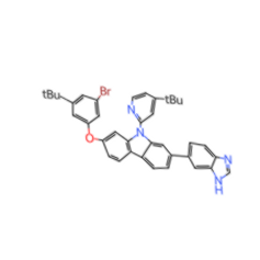 CC(C)(C)c1cc(Br)cc(Oc2ccc3c4ccc(-c5ccc6nc[nH]c6c5)cc4n(-c4cc(C(C)(C)C)ccn4)c3c2)c1